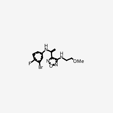 C=C(Nc1ccc(F)c(Br)c1)c1nonc1NCCOC